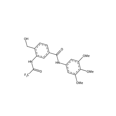 COc1cc(NC(=O)c2ccc(CO)c(NC(=O)C(F)(F)F)c2)cc(OC)c1OC